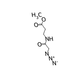 COC(=O)CCNC(=O)CN=[N+]=[N-]